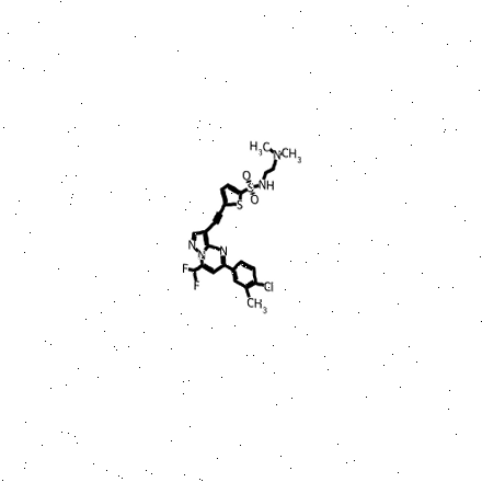 Cc1cc(-c2cc(C(F)F)n3ncc(C#Cc4ccc(S(=O)(=O)NCCN(C)C)s4)c3n2)ccc1Cl